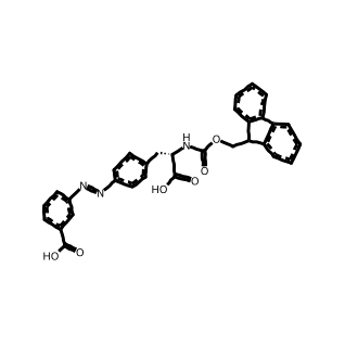 O=C(N[C@@H](Cc1ccc(N=Nc2cccc(C(=O)O)c2)cc1)C(=O)O)OCC1c2ccccc2-c2ccccc21